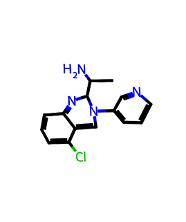 CC(N)C1N=c2cccc(Cl)c2=CN1c1cccnc1